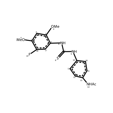 COc1cc(OC)c(NC(=S)Nc2ccc(NC(C)=O)cc2)cc1F